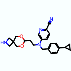 N#Cc1ccc(N(CCC2OCC3(CNC3)CO2)Cc2ccc(C3CC3)cc2)cn1